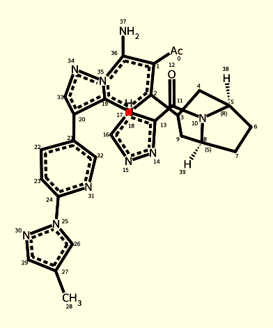 CC(=O)c1c(C2C[C@H]3CC[C@@H](C2)N3C(=O)c2nnc[nH]2)nc2c(-c3ccc(-n4cc(C)cn4)nc3)cnn2c1N